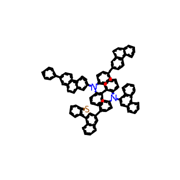 c1ccc(-c2ccc3c(ccc4cc(N(c5ccc(-c6ccc7c(ccc8ccccc87)c6)cc5)c5ccccc5-c5ccccc5N(c5ccc(-c6cc7ccccc7c7c6sc6ccccc67)cc5)c5cc6ccccc6c6ccccc56)ccc43)c2)cc1